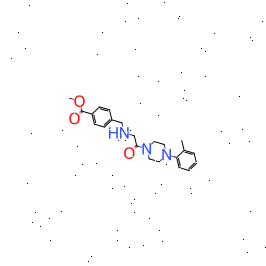 COC(=O)c1ccc(CNCC(=O)N2CCN(c3ccccc3C)CC2)cc1